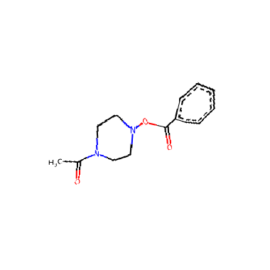 CC(=O)N1CCN(OC(=O)c2ccccc2)CC1